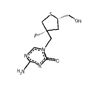 Nc1ncn(C[C@@]2(F)CS[C@H](CO)C2)c(=O)n1